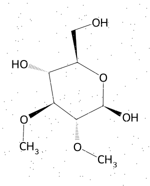 CO[C@@H]1[C@@H](OC)[C@H](O)[C@@H](CO)O[C@H]1O